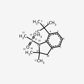 CC(C)(C)c1cccc2c1N(S(C)(=O)=O)C(C)(C)C2